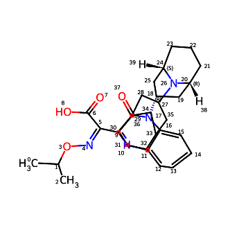 CC(C)ON=C(C(=O)O)c1nc2ccccc2n([C@H]2C[C@H]3CCC[C@@H](C2)N3C2CC3CCCC(C3)C2)c1=O